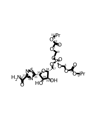 CC(C)OC(=O)OCOP(=O)(OCOC(=O)OC(C)C)OC[C@H]1O[C@@H](c2nc(C(N)=O)ns2)[C@H](O)[C@@H]1O